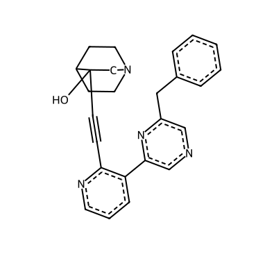 OC1(C#Cc2ncccc2-c2cncc(Cc3ccccc3)n2)CN2CCC1CC2